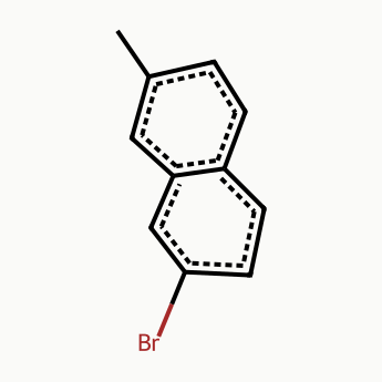 Cc1ccc2ccc(Br)cc2c1